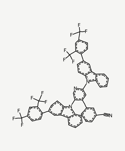 N#Cc1cccc(-c2cc(-n3c4ccccc4c4cc(-c5ccc(C(F)(F)F)cc5C(F)(F)F)ccc43)ncc2-n2c3ccccc3c3cc(-c4ccc(C(F)(F)F)cc4C(F)(F)F)ccc32)c1